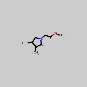 COCCN1CC(C)C(C)C1